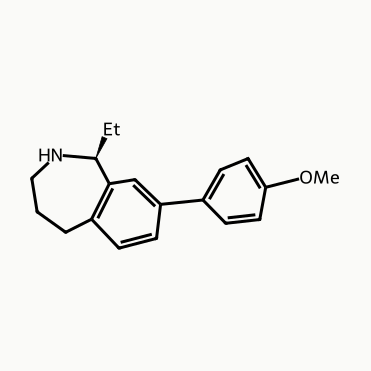 CC[C@@H]1NCCCc2ccc(-c3ccc(OC)cc3)cc21